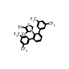 CCC1=C(CC)N(c2c(-c3cc(C(F)(F)F)cc(C(F)(F)F)c3)cccc2-c2cc(C(F)(F)F)cc(C(F)(F)F)c2)[C]S1